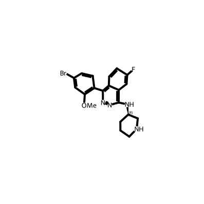 COc1cc(Br)ccc1-c1nnc(N[C@@H]2CCCNC2)c2cc(F)ccc12